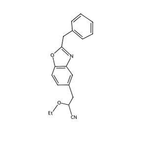 CCOC(C#N)Cc1ccc2oc(Cc3ccccc3)nc2c1